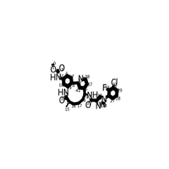 COC(=O)Nc1ccc2c(c1)NC(=O)[C@H](C)CCC[C@H](NC(=O)c1cn(-c3cccc(Cl)c3F)nn1)c1ccnc-2c1